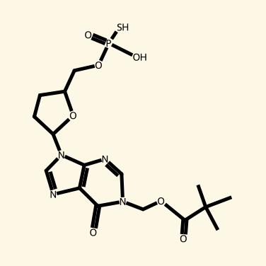 CC(C)(C)C(=O)OCn1cnc2c(ncn2C2CCC(COP(=O)(O)S)O2)c1=O